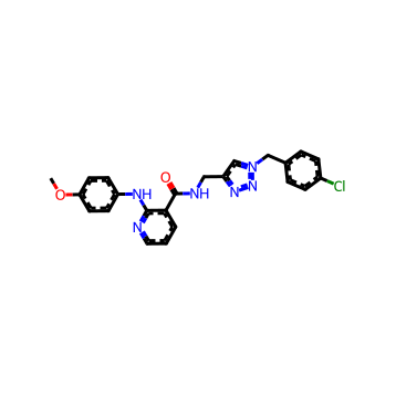 COc1ccc(Nc2ncccc2C(=O)NCc2cn(Cc3ccc(Cl)cc3)nn2)cc1